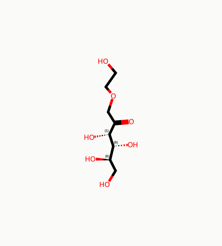 O=C(COCCO)[C@@H](O)[C@H](O)[C@H](O)CO